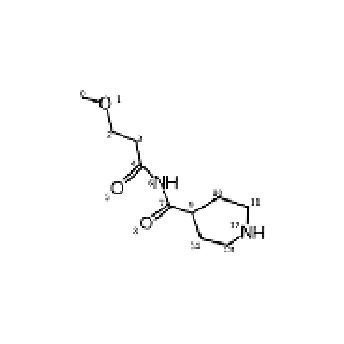 COCCC(=O)NC(=O)C1CCNCC1